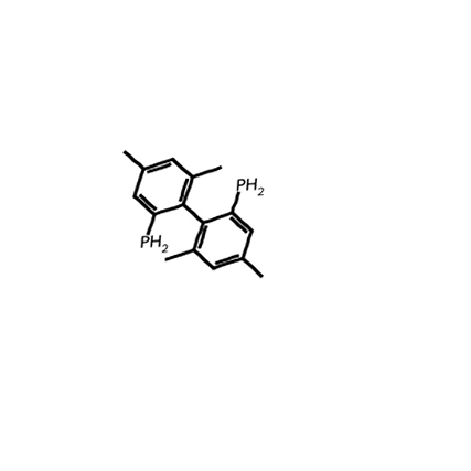 Cc1cc(C)c(-c2c(C)cc(C)cc2P)c(P)c1